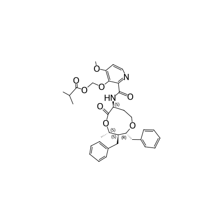 COc1ccnc(C(=O)N[C@H]2CCO[C@H](Cc3ccccc3)[C@@H](Cc3ccccc3)[C@H](C)OC2=O)c1OCOC(=O)C(C)C